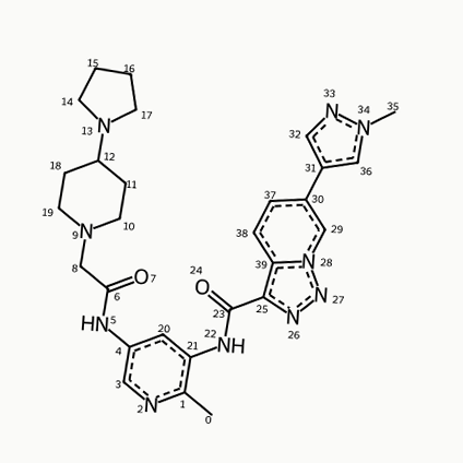 Cc1ncc(NC(=O)CN2CCC(N3CCCC3)CC2)cc1NC(=O)c1nnn2cc(-c3cnn(C)c3)ccc12